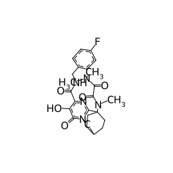 CN(C)C(=O)C(=O)N(C)C12CCC(CC1)Cn1c2nc(C(=O)NCc2ccc(F)cc2)c(O)c1=O